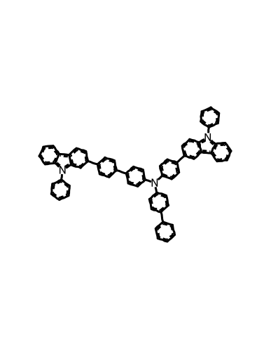 c1ccc(-c2ccc(N(c3ccc(-c4ccc(-c5ccc6c7ccccc7n(-c7ccccc7)c6c5)cc4)cc3)c3ccc(-c4ccc5c(c4)c4ccccc4n5-c4ccccc4)cc3)cc2)cc1